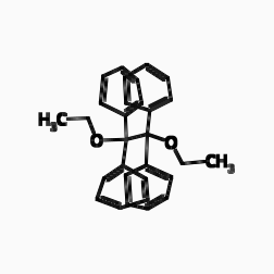 CCOC(c1ccccc1)(c1ccccc1)C(OCC)(c1ccccc1)c1ccccc1